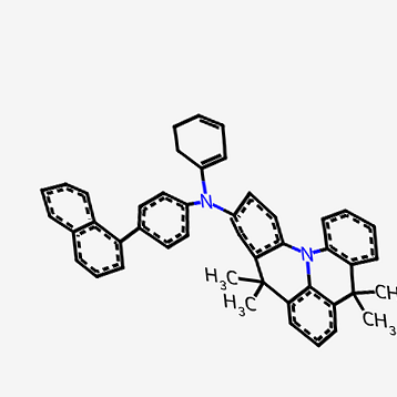 CC1(C)c2ccccc2N2c3ccc(N(C4=CC=CCC4)c4ccc(-c5cccc6ccccc56)cc4)cc3C(C)(C)c3cccc1c32